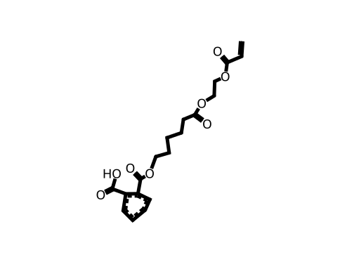 C=CC(=O)OCCOC(=O)CCCCCOC(=O)c1ccccc1C(=O)O